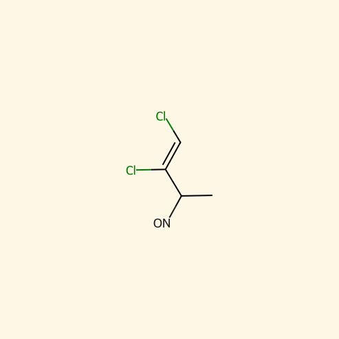 CC(N=O)C(Cl)=CCl